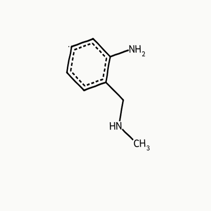 CNCc1cc[c]cc1N